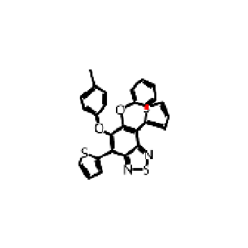 Cc1ccc(Oc2c(Oc3ccccc3)c(-c3cccs3)c3nsnc3c2-c2cccs2)cc1